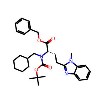 Cn1c(CC[C@@H](C(=O)OCc2ccccc2)N(CC2CCCCC2)C(=O)OC(C)(C)C)nc2ccccc21